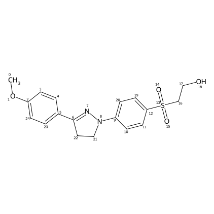 COc1ccc(C2=NN(c3ccc(S(=O)(=O)CCO)cc3)CC2)cc1